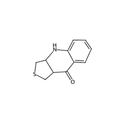 O=C1c2ccccc2NC2CSCC12